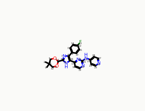 CC1(C)COC(c2nc(-c3ccc(F)cc3)c(-c3ccnc(Nc4ccncc4)n3)[nH]2)OC1